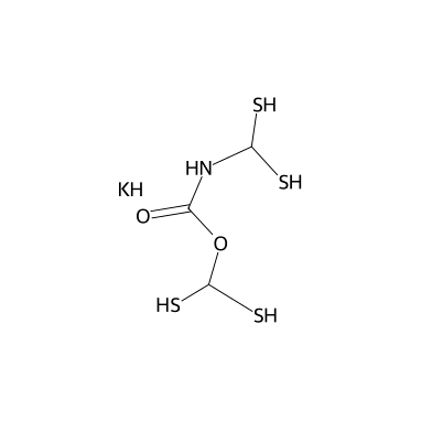 O=C(NC(S)S)OC(S)S.[KH]